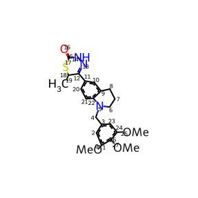 COc1cc(CN2CCCc3cc(C4=NNC(=O)SC4C)ccc32)cc(OC)c1OC